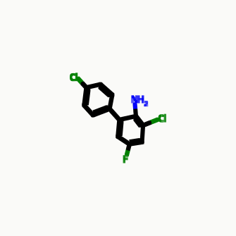 Nc1c(Cl)cc(F)cc1-c1ccc(Cl)cc1